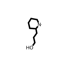 OCCCC1CCCC[N]1